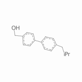 CC(C)Cc1ccc(-c2ccc(CO)cc2)cc1